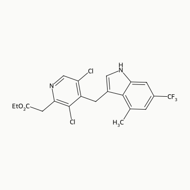 CCOC(=O)Cc1ncc(Cl)c(Cc2c[nH]c3cc(C(F)(F)F)cc(C)c23)c1Cl